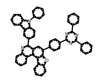 c1ccc(-c2nc(-c3ccccc3)nc(-c3ccc(-c4cc5c(-c6ccc7c(c6)c6ccccc6n7-c6ccccc6)nc6ccccc6c5c5c4oc4ccccc45)cc3)n2)cc1